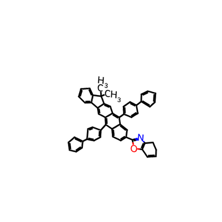 CC1(C)c2ccccc2-c2cc3c(-c4ccc(-c5ccccc5)cc4)c4ccc(-c5nc6c(o5)C=CCC6)cc4c(-c4ccc(-c5ccccc5)cc4)c3cc21